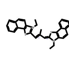 CCN1/C(=C/C(C)=C/c2sc3c4ccccc4ccc3[n+]2CC)Sc2c1ccc1ccccc21